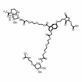 O=C(S)CSC1CC(=O)N(CCOc2ccc3c(c2)c(C(=O)OCCOCCOCC(=O)NC[C@H]2O[C@@H]4OCCN(C(=O)C(F)(F)F)[C@@H]4[C@@H](O)[C@H]2O)cn3CC(=O)OCCOCCOCC(=O)NC[C@H]2O[C@H](OCCNC(=O)C(F)(F)F)C[C@@H](O)[C@H]2O)C1=O